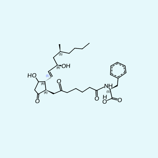 CCCC[C@H](C)C[C@@H](O)/C=C/[C@H]1C(O)CC(=O)[C@@H]1CC(=O)CCCCC(=O)N[C@@H](Cc1ccccc1)C(=O)O